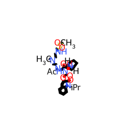 CC(=O)N(CCN(C)CCNCS(C)(=O)=O)CC(O)CN1[C@@H]2CC[C@H]1C[C@H](NC(=O)Oc1cc3ccccc3n(C(C)C)c1=O)C2